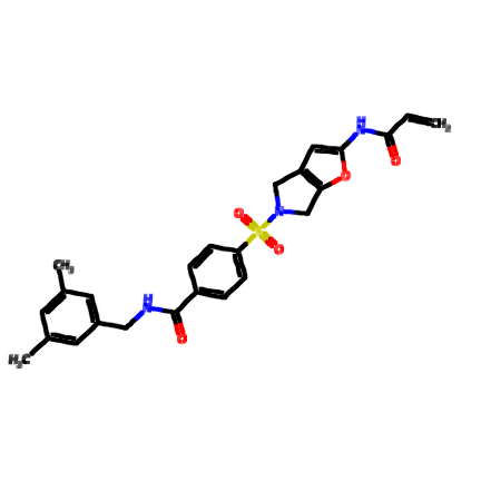 C=CC(=O)Nc1cc2c(o1)CN(S(=O)(=O)c1ccc(C(=O)NCc3cc(C)cc(C)c3)cc1)C2